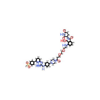 CS(=O)(=O)c1ccc(-c2ccc/c(=N/C(=N)Nc3ccc(N4CCN(C(=O)CCOCCOCCNc5cccc6c5C(O)N(C5CCC(=O)NC5=O)C6=O)CC4)cc3)[nH]2)cc1